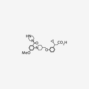 COc1ccc(C(=O)N2CCNCC2)c(N2CCC(COc3cccc(C(CC(=O)O)C4CC4)c3)CC2)c1